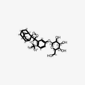 [2H]C([2H])([2H])OC1(c2cccc(O[C@@H]3OC(CO)[C@H](O)[C@H](O)C3O)c2)OOC12C1CC3CC(C1)CC2C3